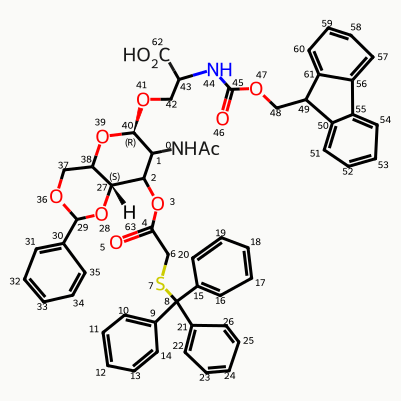 CC(=O)NC1C(OC(=O)CSC(c2ccccc2)(c2ccccc2)c2ccccc2)[C@@H]2OC(c3ccccc3)OCC2O[C@H]1OCC(NC(=O)OCC1c2ccccc2-c2ccccc21)C(=O)O